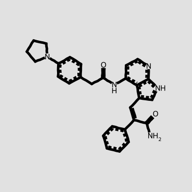 NC(=O)C(=Cc1c[nH]c2nccc(NC(=O)Cc3ccc(N4CCCC4)cc3)c12)c1ccccc1